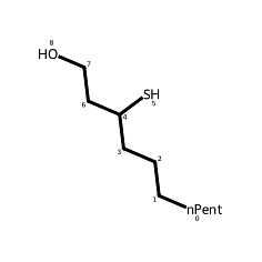 CCCCCCCCC(S)CCO